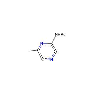 CC(=O)Nc1cncc(C)n1